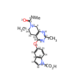 CNC(=O)N1Cc2nc(C)nc(Oc3ccc4c(ccn4C(=O)O)c3)c2C[C@@H]1C